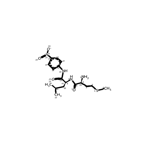 CSCC[C@H](N)C(=O)N[C@@H](CC(C)C)C(=O)Nc1ccc([N+](=O)[O-])cc1